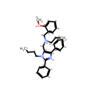 CCCCn1c(-c2ccccc2)nc(-c2ccccc2)c1CN(CCC)Cc1ccccc1OC